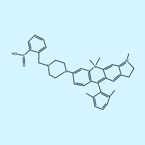 Cc1cccc(C)c1C1=c2cc3c(cc2[Si](C)(C)c2cc(N4CCN(Cc5ccccc5S(=O)O)CC4)ccc21)=[N+](C)CC3